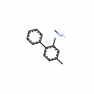 CN.Cc1ccc(-c2ccccc2)c(C)c1